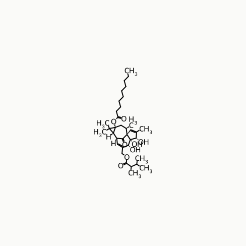 CCCCCCCCCC(=O)O[C@@]12C[C@@H](C)[C@]34C=C(C)[C@H](O)[C@@]3(O)[C@H](O)C(COC(=O)C(C)C(C)C)=C[C@H](C4=O)[C@@H]1C2(C)C